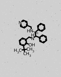 CC(C)(C)c1cccc(CNC(c2ccccc2)[C@H](NCc2ccncc2)c2ccccc2)c1O